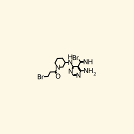 N=C(Br)c1c(N)ncnc1NC1CCCN(C(=O)CCBr)C1